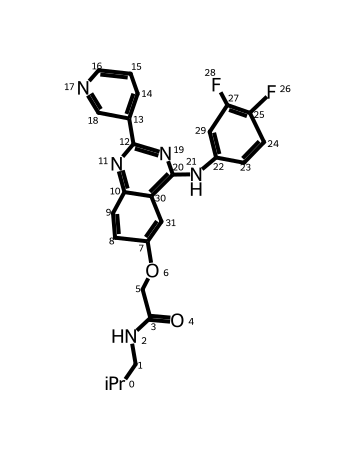 CC(C)CNC(=O)COc1ccc2nc(-c3cccnc3)nc(Nc3ccc(F)c(F)c3)c2c1